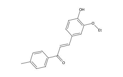 CCOc1cc(C=CC(=O)c2ccc(C)cc2)ccc1O